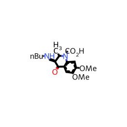 CCCCNC=C1C(=O)c2cc(OC)c(OC)cc2N(C(=O)O)C1C